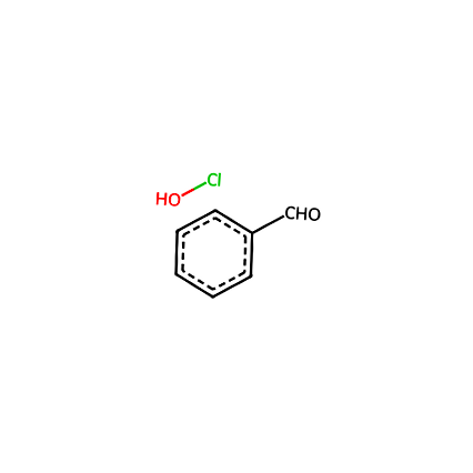 O=Cc1ccccc1.OCl